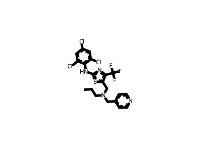 CCCN(Cc1ccncc1)Cc1sc(Nc2c(Cl)cc(Cl)cc2Cl)nc1C(F)(F)F